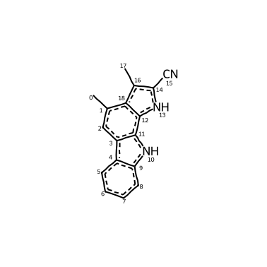 Cc1cc2c3ccccc3[nH]c2c2[nH]c(C#N)c(C)c12